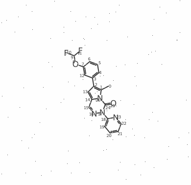 Cc1c(-c2cccc(OC(F)F)c2)cc2cnn(-c3ccccn3)c(=O)n12